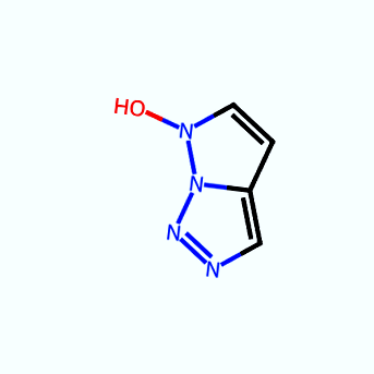 On1ccc2cnnn21